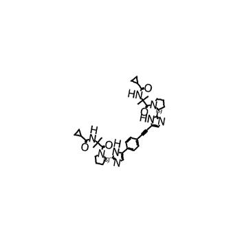 CC(C)(NC(=O)C1CC1)C(=O)N1CCC[C@H]1c1ncc(C#Cc2ccc(-c3cnc([C@@H]4CCCN4C(=O)C(C)(C)NC(=O)C4CC4)[nH]3)cc2)[nH]1